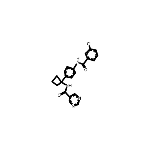 O=C(Nc1ccc(C2(NC(=O)c3cncnc3)CCC2)cc1)c1cccc(Cl)c1